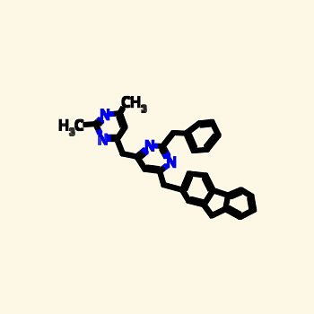 Cc1cc(Cc2cc(Cc3ccc4c(c3)Cc3ccccc3-4)nc(Cc3ccccc3)n2)nc(C)n1